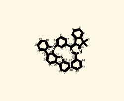 CC1(C)c2ccccc2-c2c(-c3cccc(-n4c5ccccc5c5ccc6c7ccccc7sc6c54)c3)nc(-c3ccccc3)nc21